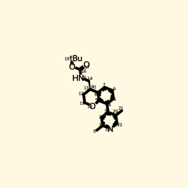 Cc1cc(-c2cccc3c2OCC[C@H]3CNC(=O)OC(C)(C)C)c(C)cn1